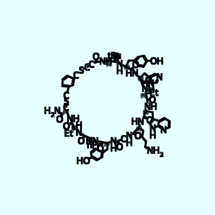 CCC[C@@H]1NC(=O)[C@H](Cc2ccc(O)cc2)NC(=O)CNC(=O)[C@H](CCCCN)NC(=O)[C@H](Cc2c[nH]c3ncccc23)NC(=O)[C@H](CC)NC(=O)[C@H](Cc2cnc[nH]2)NC(=O)[C@H](Cc2ccc(O)cc2)NC(=O)[C@H](C(C)(C)C)NC(=O)CCSCc2cccc(c2)CSC[C@@H](C(N)=O)NC(=O)[C@H](CC)NC1=O